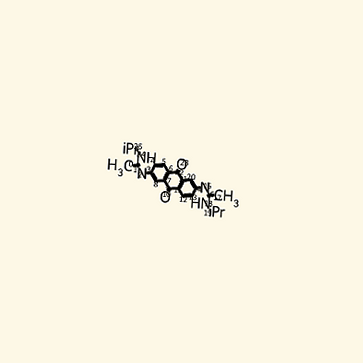 CC(=Nc1ccc2c(c1)C(=O)c1ccc(N=C(C)NC(C)C)cc1C2=O)NC(C)C